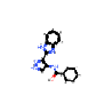 O=C(Nc1c[nH]nc1-c1nc2ccccc2[nH]1)C1CCCCC1